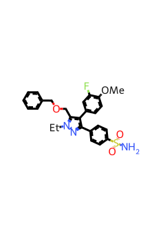 CCn1nc(-c2ccc(S(N)(=O)=O)cc2)c(-c2ccc(OC)c(F)c2)c1COCc1ccccc1